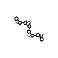 c1ccc2c(c1)oc1ccc(-c3ccc4oc5ccc(-c6ccc7oc8ccc(-c9ccc%10sc%11ccccc%11c%10c9)cc8c7c6)cc5c4c3)cc12